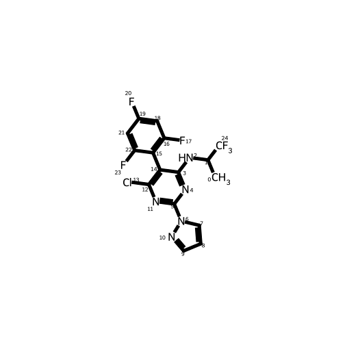 CC(Nc1nc(-n2cccn2)nc(Cl)c1-c1c(F)cc(F)cc1F)C(F)(F)F